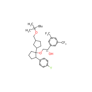 CC(C)(C)[Si](C)(C)OCC1CCC(C2(OC[C@@H](O)c3cc(C(F)(F)F)cc(C(F)(F)F)c3)CCCC2c2ccc(F)cc2)C1